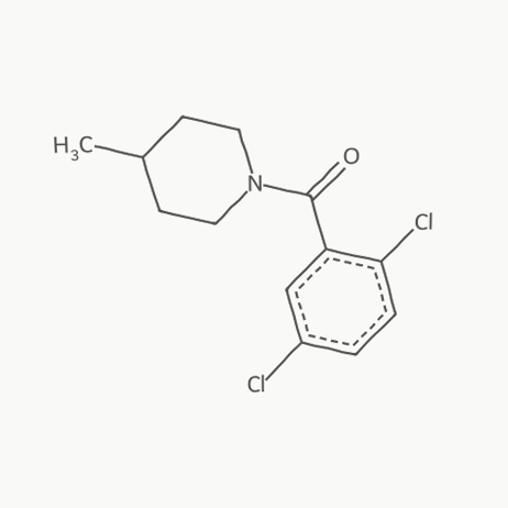 CC1CCN(C(=O)c2cc(Cl)ccc2Cl)CC1